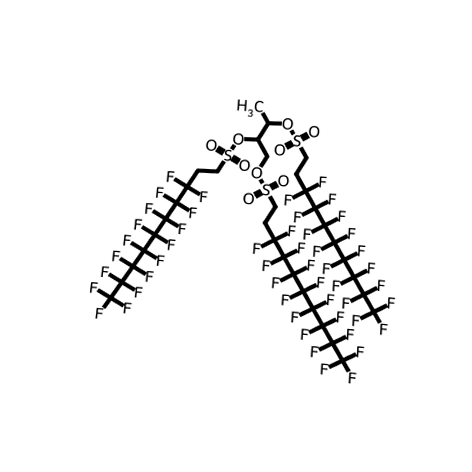 CC(OS(=O)(=O)CCC(F)(F)C(F)(F)C(F)(F)C(F)(F)C(F)(F)C(F)(F)C(F)(F)C(F)(F)F)C(COS(=O)(=O)CCC(F)(F)C(F)(F)C(F)(F)C(F)(F)C(F)(F)C(F)(F)C(F)(F)C(F)(F)F)OS(=O)(=O)CCC(F)(F)C(F)(F)C(F)(F)C(F)(F)C(F)(F)C(F)(F)C(F)(F)C(F)(F)F